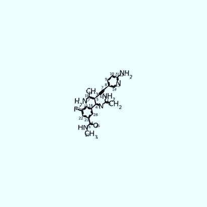 C=C(N)/N=C(\C(C#Cc1ccc(N)nc1)=C(\C)N)c1cc(F)cc(C(=O)NC)c1